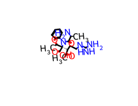 CC(=O)C(CCNC(=N)N)[C@@](C(C)=O)(C(=O)O)N(C(=O)[C@H](C)N)c1ccccc1